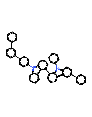 c1ccc(-c2cccc(-c3ccc(-n4c5ccccc5c5c(-c6cccc7c8cc(-c9ccccc9)ccc8n(-c8ccccc8)c67)cccc54)cc3)c2)cc1